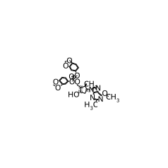 C=C1[C@H](COP(=O)(Oc2ccc3c(c2)OCO3)Oc2ccc3c(c2)OCO3)[C@@H](O)C[C@@H]1n1cnc2c(OC)nc(C)nc21